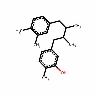 Cc1ccc(CC(C)C(C)Cc2ccc(C)c(O)c2)cc1C